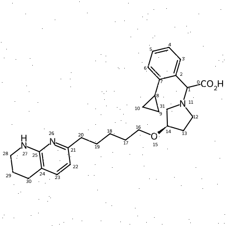 O=C(O)C(c1ccccc1C1CC1)N1CC[C@@H](OCCCCCc2ccc3c(n2)NCCC3)C1